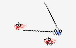 CCCCCCCCCCCCCCCCCCCCCCCCCCc1cccc(N=C(C)C(CCCC)=Nc2cccc(CCCCCCCCCCCCCCCCCCCCCCCCCC)c2)c1.CCCc1c(C)cc(O)c(O)c1C(=O)[O-].CCCc1c(C)cc(O)c(O)c1C(=O)[O-].[Pd+2]